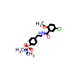 COc1ccc(Cl)cc1C(=O)NCCc1ccc(S(=O)(=O)N(C)C)cc1